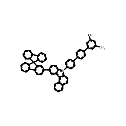 Cc1cc(C)cc(-c2ccc(-c3ccc(-n4c5ccc(-c6ccc7c(c6)C6(c8ccccc8-c8ccccc86)c6ccccc6-7)cc5c5c6ccccc6ccc54)cc3)cc2)c1